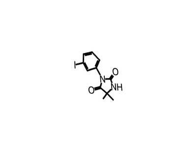 CC1(C)NC(=O)N(c2cccc(I)c2)C1=O